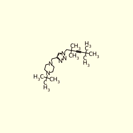 CC(C)(C)C#CC(C)(C)Cn1cc(CN2CCN(C(C)(C)C)CC2)nn1